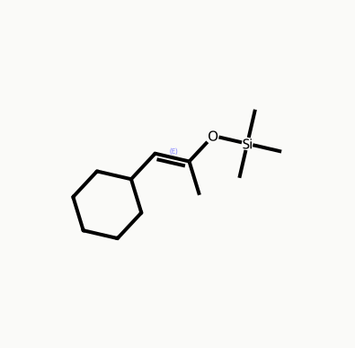 C/C(=C\C1CCCCC1)O[Si](C)(C)C